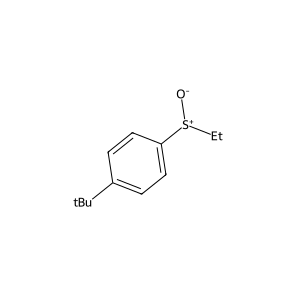 [CH2]C(C)(C)c1ccc([S+]([O-])CC)cc1